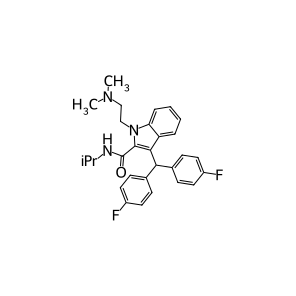 CC(C)NC(=O)c1c(C(c2ccc(F)cc2)c2ccc(F)cc2)c2ccccc2n1CCN(C)C